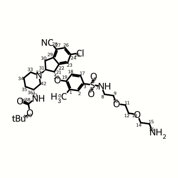 Cc1cc(S(=O)(=O)NCCOCCOCCN)ccc1O[C@H]1c2cc(Cl)cc(C#N)c2C[C@@H]1N1CCC[C@@H](NC(=O)OC(C)(C)C)C1